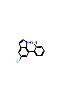 O=[N+]([O-])c1ccccc1-c1cc(Cl)cc2cc[nH]c12